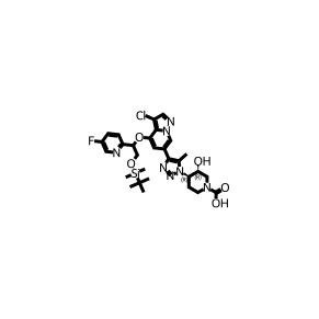 Cc1c(-c2cc(OC(CO[Si](C)(C)C(C)(C)C)c3ccc(F)cn3)c3c(Cl)cnn3c2)nnn1[C@@H]1CCN(C(=O)O)C[C@H]1O